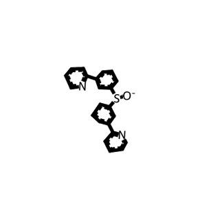 [O-][S+](c1cccc(-c2ccccn2)c1)c1cccc(-c2ccccn2)c1